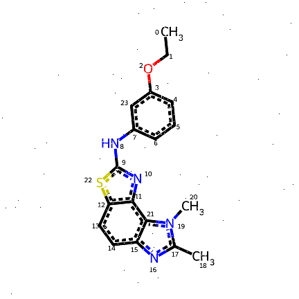 CCOc1cccc(Nc2nc3c(ccc4nc(C)n(C)c43)s2)c1